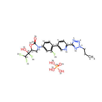 CCCn1nnc(-c2ccc(-c3ccc(N4CC(C(O)(F)C(F)F)OC4=O)cc3F)cn2)n1.O=P(O)(O)O